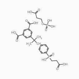 CC(C)(C)c1cc(C(=O)O)cc(C(=O)O)c1.O=C(O)CCOP(=O)(O)O.O=C(O)CCP(=O)(O)c1ccccc1